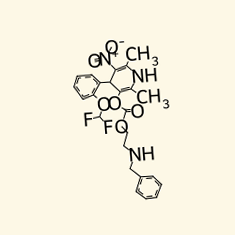 CC1=C(OC(=O)OCCNCc2ccccc2)C(c2ccccc2OC(F)F)C([N+](=O)[O-])=C(C)N1